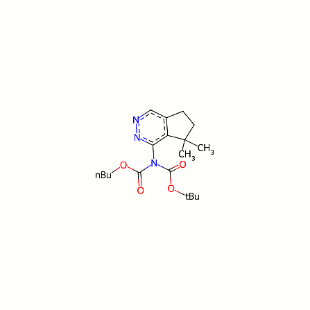 CCCCOC(=O)N(C(=O)OC(C)(C)C)c1nncc2c1C(C)(C)CC2